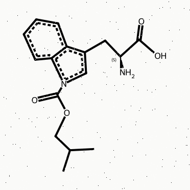 CC(C)COC(=O)n1cc(C[C@H](N)C(=O)O)c2ccccc21